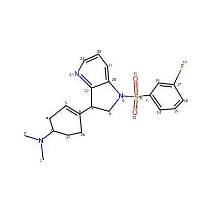 CN(C)C1CC=C(C2CN(S(=O)(=O)c3cccc(F)c3)c3cccnc32)CC1